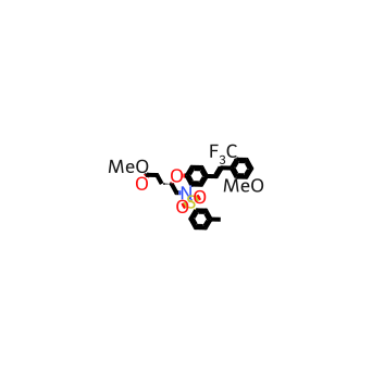 COC(=O)CC[C@H]1CN(S(=O)(=O)c2cccc(C)c2)c2cc(/C=C/c3c(OC)cccc3C(F)(F)F)ccc2O1